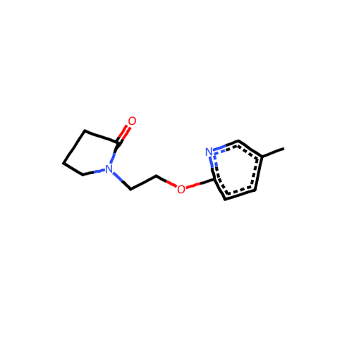 Cc1ccc(OCCN2CCCC2=O)nc1